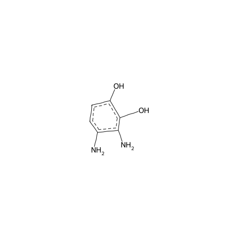 Nc1ccc(O)c(O)c1N